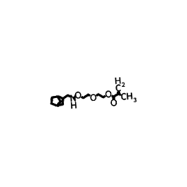 C=C(C)C(=O)OCCOCCONCC1CC2CCC1C2